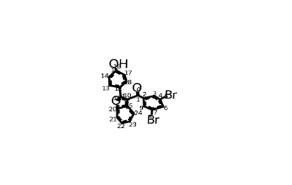 O=C(c1cc(Br)cc(Br)c1)c1c(-c2ccc(O)cc2)oc2ccccc12